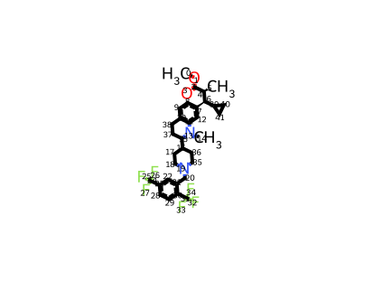 COC(=O)[C@@H](C)[C@H](c1ccc2c(c1)N(C)C(C1CCN(Cc3cc(C(F)(F)F)ccc3C(F)(F)F)CC1)CC2)C1CC1